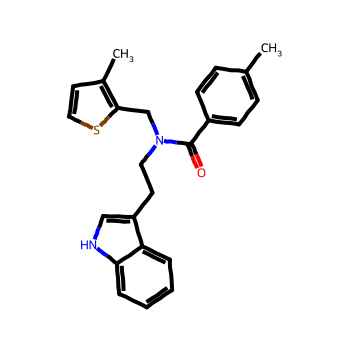 Cc1ccc(C(=O)N(CCc2c[nH]c3ccccc23)Cc2sccc2C)cc1